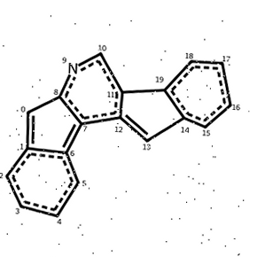 C1=c2ccccc2=c2c1ncc1c2=Cc2ccccc2-1